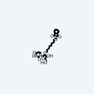 O=C1c2ccccc2C(=O)N1OCCCCCCCCO[C@@H]1[C@H](O)[C@@H](CO)O[C@H]1n1ccc(=O)[nH]c1=O